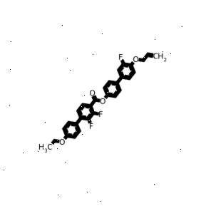 C=CCOc1ccc(-c2ccc(OC(=O)c3ccc(-c4ccc(OCC)cc4)c(F)c3F)cc2)cc1F